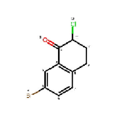 O=C1c2cc(Br)ccc2CCC1Cl